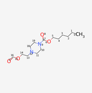 CCCCCCOC(=O)N1CCN(CCOC=O)CC1